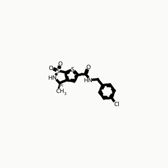 C[C@H]1NS(=O)(=O)c2sc(C(=O)NCc3ccc(Cl)cc3)cc21